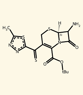 Cc1nnc(C(=S)C2=C(C(=O)OC(C)(C)C)N3C(=O)C(N)[C@@H]3SC2)s1